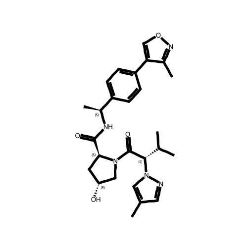 Cc1cnn([C@H](C(=O)N2C[C@H](O)C[C@H]2C(=O)N[C@@H](C)c2ccc(-c3conc3C)cc2)C(C)C)c1